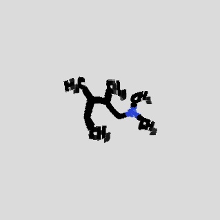 CCC(C)C(C)CN(C)C